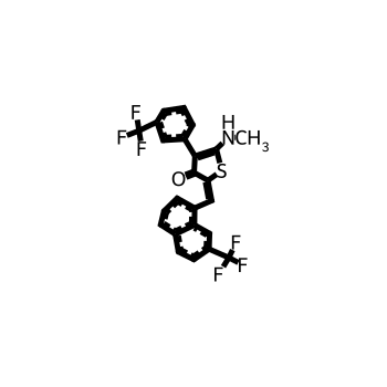 CNC1=C(c2cccc(C(F)(F)F)c2)C(=O)C(=Cc2cccc3ccc(C(F)(F)F)cc23)S1